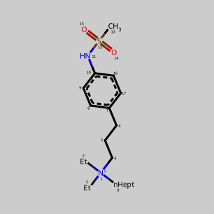 CCCCCCC[N+](CC)(CC)CCCc1ccc(NS(C)(=O)=O)cc1